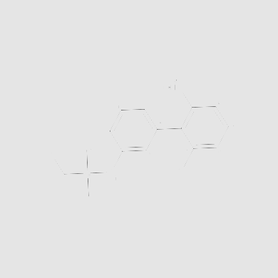 CC(C)C[Si](C)(C)Oc1cccc(-c2c(Br)cccc2C=O)c1